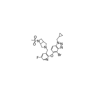 CS(=O)(=O)N1CC2CN(Cc3cc(F)cnc3Oc3ccc4c(nnn4CC4CC4)c3Br)CC21